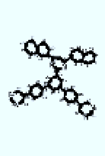 c1ccc2cc(-c3cc(-c4ccc5ccccc5c4)nc(-c4cc(-c5ccc(-c6cncnc6)cc5)cc(-c5ccc(-c6cncnc6)cc5)c4)n3)ccc2c1